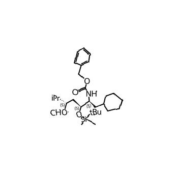 CC(C)[C@@H]([C]=O)C[C@H](O[Si](C)(C)C(C)(C)C)[C@H](CC1CCCCC1)NC(=O)OCc1ccccc1